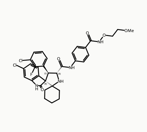 COCCONC(=O)c1ccc(NC(=O)[C@@H]2NC3(CCCCC3)[C@@]3(C(=O)Nc4cc(Cl)ccc43)[C@H]2c2cccc(Cl)c2F)cc1